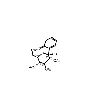 CC(=O)OC[C@H]1O[C@](O)(C2=CC=CCC2=S)[C@H](OC(C)=O)[C@@H](OC(C)=O)[C@H]1OC(C)=O